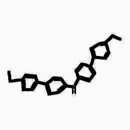 CCc1ccc(-c2ccc(Nc3ccc(-c4ccc(CC)cc4)cc3)cc2)cc1